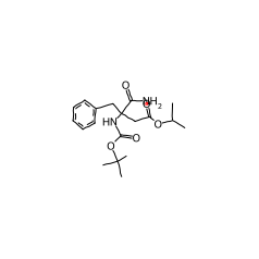 CC(C)OC(=O)CC(Cc1ccccc1)(NC(=O)OC(C)(C)C)C(N)=O